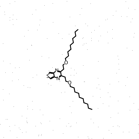 CCCCCCCCCCOCCc1nc2cscc2nc1CCOCCCCCCCCCC